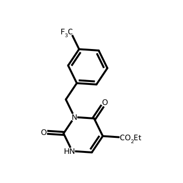 CCOC(=O)c1c[nH]c(=O)n(Cc2cccc(C(F)(F)F)c2)c1=O